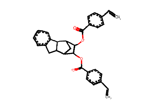 C=Cc1ccc(C(=O)OC2C3CC(C2OC(=O)c2ccc(C=C)cc2)C2c4ccccc4CC32)cc1